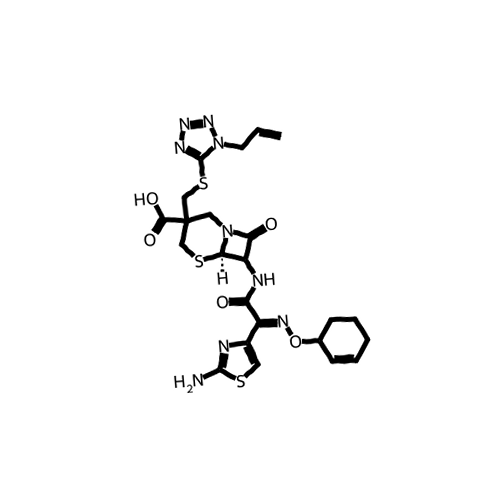 C=CCn1nnnc1SCC1(C(=O)O)CS[C@@H]2C(NC(=O)C(=NOC3C=CCCC3)c3csc(N)n3)C(=O)N2C1